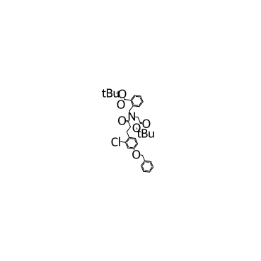 CC(C)(C)OC(=O)CN(Cc1ccccc1C(=O)OC(C)(C)C)C(=O)CCc1ccc(OCc2ccccc2)cc1Cl